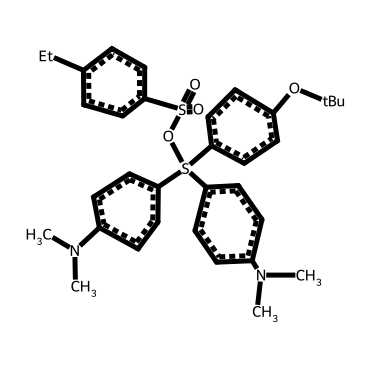 CCc1ccc(S(=O)(=O)OS(c2ccc(OC(C)(C)C)cc2)(c2ccc(N(C)C)cc2)c2ccc(N(C)C)cc2)cc1